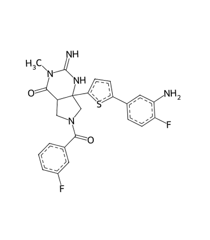 CN1C(=N)NC2(c3ccc(-c4ccc(F)c(N)c4)s3)CN(C(=O)c3cccc(F)c3)CC2C1=O